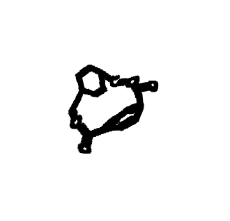 O=C1OCC2CCC(CC2)COC(=O)c2ccc1cc2